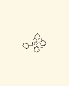 Cc1ccccc1[Si](OCc1ccccc1)(c1ccccc1C)c1ccccc1C